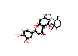 C=C1CCCC(C)(C)[C@H]1Cc1c(OC)cc2oc(-c3ccc(O)c(O)c3)cc(=O)c2c1O